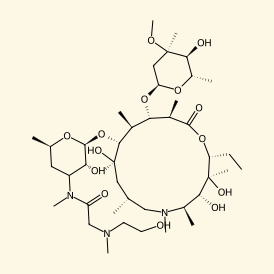 CC[C@H]1OC(=O)[C@H](C)[C@@H](O[C@H]2C[C@@](C)(OC)[C@@H](O)[C@H](C)O2)[C@H](C)[C@@H](O[C@@H]2O[C@H](C)CC(N(C)C(=O)CN(C)CCO)[C@H]2O)[C@](C)(O)C[C@@H](C)CN(C)[C@H](C)[C@@H](O)[C@]1(C)O